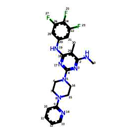 CNc1nc(N2CCN(c3ccccn3)CC2)nc(Nc2cc(F)c(F)c(F)c2)c1C